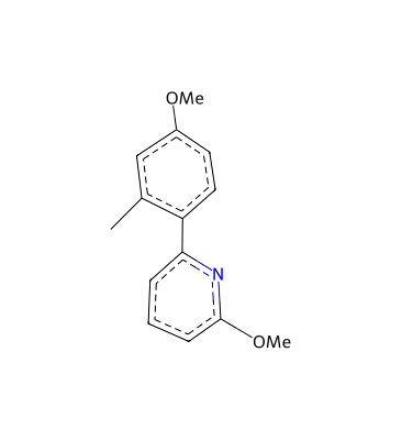 COc1ccc(-c2cccc(OC)n2)c(C)c1